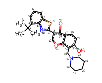 CC(C)(C)c1cccc2sc(-c3coc4c(CN5CCCCC5)c(O)ccc4c3=O)nc12